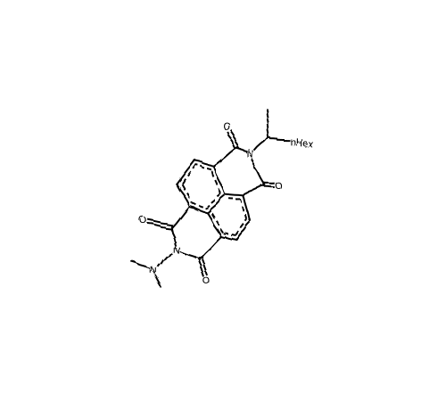 CCCCCCC(C)N1C(=O)c2ccc3c4c(ccc(c24)C1=O)C(=O)N(N(C)C)C3=O